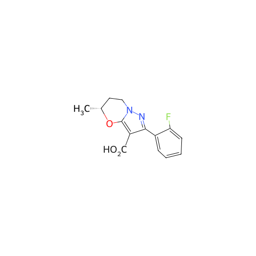 C[C@@H]1CCn2nc(-c3ccccc3F)c(C(=O)O)c2O1